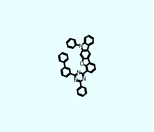 c1ccc(-c2cccc(-c3nc(-c4ccccc4)nc(-c4cccc5c4oc4cc6c(cc45)c4ccccc4n6-c4ccccc4)n3)c2)cc1